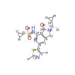 Cc1nc(C)c(-c2cc3c(c(NS(=O)(=O)C4CC4)n2)C(=O)N([C@@H](C)C2CC2)C3)s1